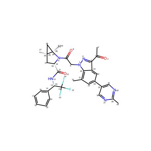 CC(=O)c1nn(CC(=O)N2[C@H](C(=O)N[C@@H](c3ccccc3)C(F)(F)F)C[C@@]3(C)C[C@@H]23)c2c(C)cc(-c3cnc(C)nc3)cc12